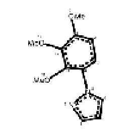 COc1ccc(-n2cc[c]n2)c(OC)c1OC